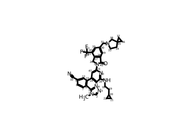 Cn1cnnc1-c1ccc(C#N)cc1-c1cc(NCCC2CC2)nc(N2Cc3c(cc(CN4CCC5(CC5)C4)cc3C(F)(F)F)C2=O)c1